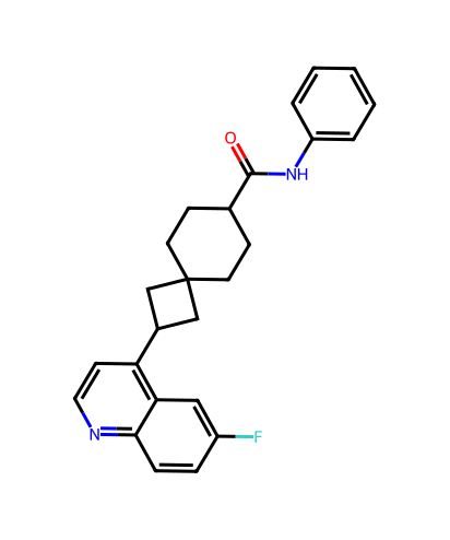 O=C(Nc1ccccc1)C1CCC2(CC1)CC(c1ccnc3ccc(F)cc13)C2